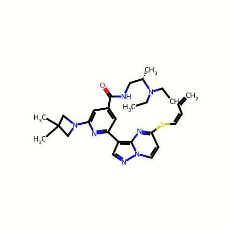 C=C/C=C\Sc1ccn2ncc(-c3cc(C(=O)NC[C@H](C)N(CC)CC)cc(N4CC(C)(C)C4)n3)c2n1